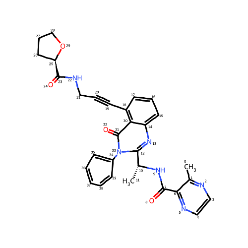 Cc1nccnc1C(=O)N[C@H](C)c1nc2cccc(C#CCNC(=O)[C@H]3CCCO3)c2c(=O)n1-c1ccccc1